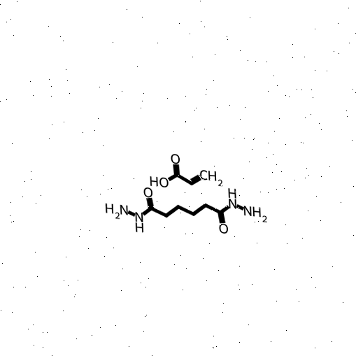 C=CC(=O)O.NNC(=O)CCCCC(=O)NN